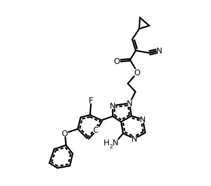 N#CC(=CC1CC1)C(=O)OCCn1nc(-c2ccc(Oc3ccccc3)cc2F)c2c(N)ncnc21